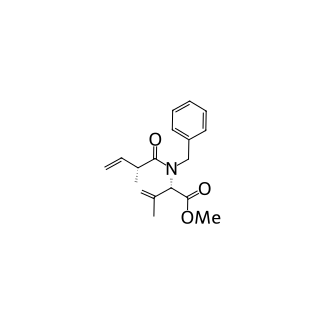 C=C[C@@H](C)C(=O)N(Cc1ccccc1)[C@@H](C(=C)C)C(=O)OC